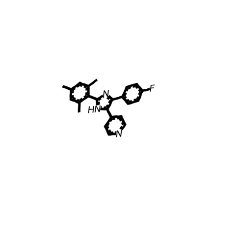 Cc1cc(C)c(-c2nc(-c3ccc(F)cc3)c(-c3ccncc3)[nH]2)c(C)c1